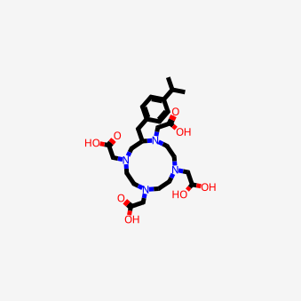 CC(C)c1ccc(CC2CN(CC(=O)O)CCN(CC(=O)O)CCN(CC(O)O)CCN2CC(=O)O)cc1